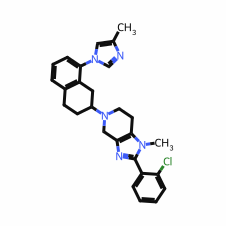 Cc1cn(-c2cccc3c2CC(N2CCc4c(nc(-c5ccccc5Cl)n4C)C2)CC3)cn1